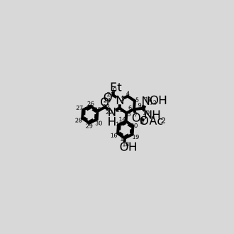 CCC(=O)N1CCC(OOC(C)=O)(C(N)=NO)C(c2ccc(O)cc2)C1NC(=O)c1ccccc1